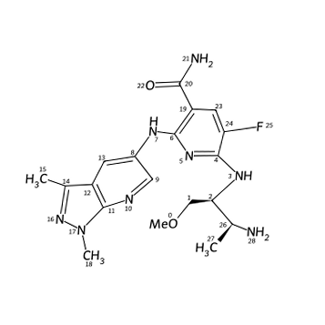 COC[C@@H](Nc1nc(Nc2cnc3c(c2)c(C)nn3C)c(C(N)=O)cc1F)[C@H](C)N